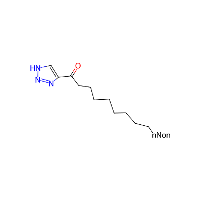 CCCCCCCCCCCCCCCCCC(=O)c1c[nH]nn1